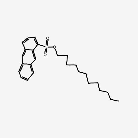 CCCCCCCCCCCCOS(=O)(=O)c1cccc2cc3ccccc3cc12